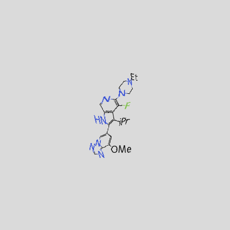 CCN1CCN(c2ncc3[nH]c(-c4cc(OC)c5ncnn5c4)c(C(C)C)c3c2F)CC1